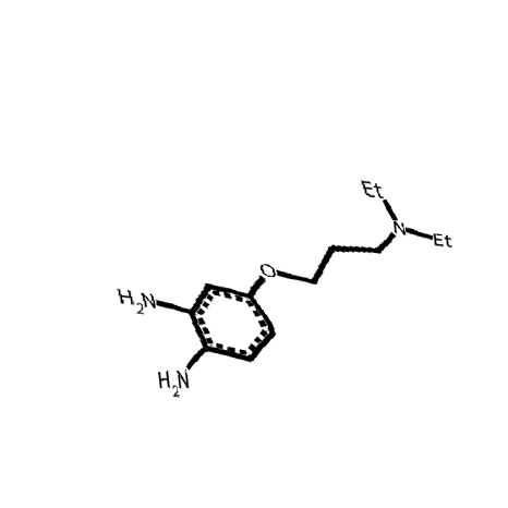 CCN(CC)CCCOc1ccc(N)c(N)c1